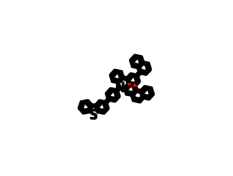 c1cc(-c2ccccc2N(c2ccc(-c3ccc4sc5ccccc5c4c3)cc2)c2ccc3c(ccc4ccccc43)c2)cc(-c2cccc3ccccc23)c1